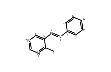 Cc1ncncc1N=Nc1ccccc1